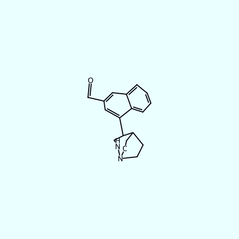 O=Cc1cc(C2CNN3CCC2CC3)c2ccccc2c1